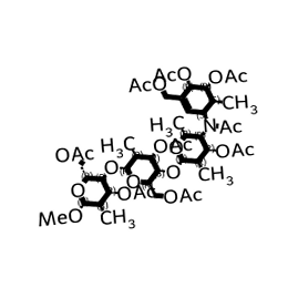 CO[C@@H]1O[C@H](COC(C)=O)[C@@H](O[C@H]2O[C@H](COC(C)=O)[C@@H](O[C@H]3O[C@H](C)[C@@H](N(C(C)=O)[C@H]4C=C(COC(C)=O)[C@@H](OC(C)=O)[C@H](OC(C)=O)[C@H]4C)[C@H](OC(C)=O)[C@H]3C)[C@H](OC(C)=O)[C@H]2C)[C@H](OC(C)=O)[C@H]1C